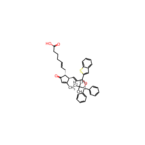 CC1=CC(=O)[C@H](CC=CCCCC(=O)O)[C@H]1C=CC(O[Si](c1ccccc1)(c1ccccc1)C(C)(C)C)c1cc2ccccc2s1